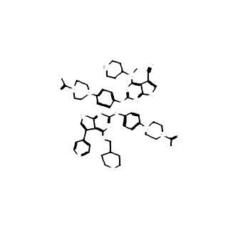 CC(=O)N1CCN(c2ccc(Nc3nc(N(C)C4CCNCC4)c4c(C#N)c[nH]c4n3)cc2)CC1.CC(=O)N1CCN(c2ccc(Nc3nc(NCC4CCNCC4)c4c(-c5ccncc5)c[nH]c4n3)cc2)CC1